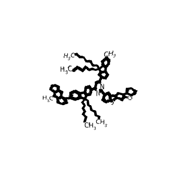 CCCCCCCCC1(CCCCCCCC)c2cc(C)ccc2-c2ccc(-c3cc(-c4ccc5c(c4)C(CCCCCCCC)(CCCCCCCC)c4cc(-c6cccc7c(C)c8ccccc8cc67)ccc4-5)nc(-c4ccc5sc6cc7oc8ccccc8c7cc6c5c4)n3)cc21